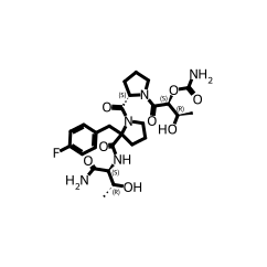 C[C@@H](O)[C@H](NC(=O)C1(Cc2ccc(F)cc2)CCCN1C(=O)[C@@H]1CCCN1C(=O)[C@@H](OC(N)=O)[C@@H](C)O)C(N)=O